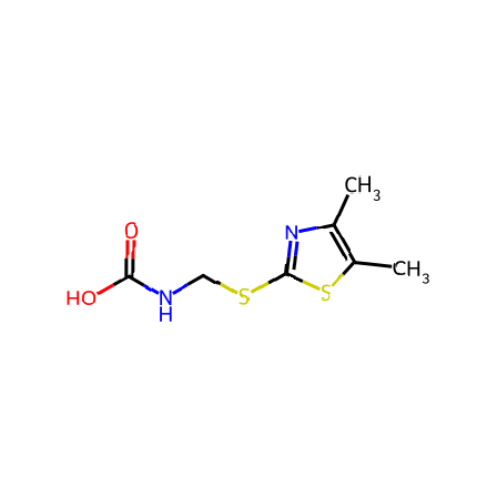 Cc1nc(SCNC(=O)O)sc1C